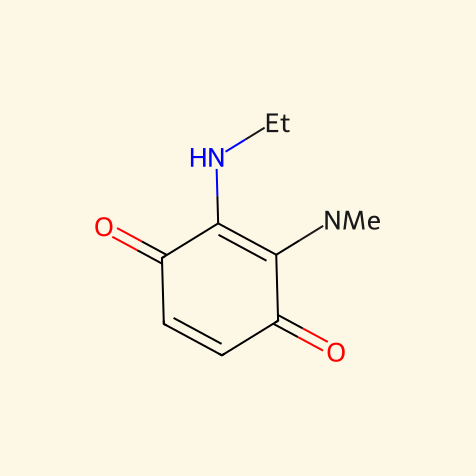 CCNC1=C(NC)C(=O)C=CC1=O